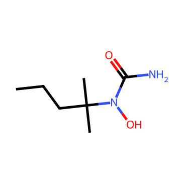 CCCC(C)(C)N(O)C(N)=O